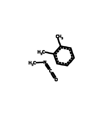 CN=C=O.Cc1ccccc1C